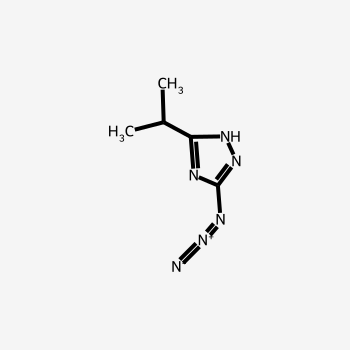 CC(C)c1nc(N=[N+]=[N-])n[nH]1